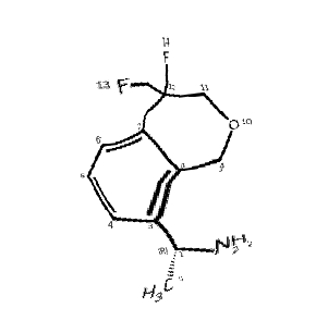 C[C@@H](N)c1cccc2c1COCC2(F)F